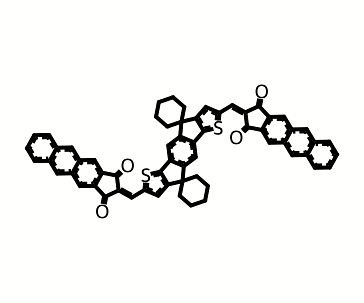 O=C1C(=Cc2cc3c(s2)-c2cc4c(cc2C32CCCCC2)-c2sc(C=C3C(=O)c5cc6cc7ccccc7cc6cc5C3=O)cc2C42CCCCC2)C(=O)c2cc3cc4ccccc4cc3cc21